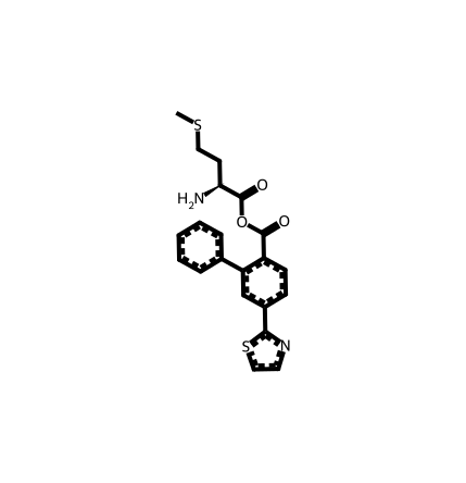 CSCC[C@H](N)C(=O)OC(=O)c1ccc(-c2nccs2)cc1-c1ccccc1